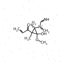 C=CC(=C)C1(C)C(O)(OC)C1(C)[N+](=C)C=N